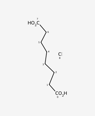 O=C(O)CCCCCCC(=O)O.[C]